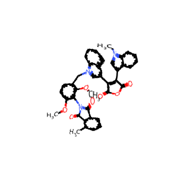 COc1ccc(Cn2cc(C3=C(c4cn(C)c5ccccc45)C(=O)OC3=O)c3ccccc32)c(OC)c1N1C(=O)c2cccc(C)c2C1=O